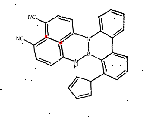 N#Cc1ccc(NB2c3c(cccc3C3C=CC=C3)-c3ccccc3N2c2ccc(C#N)cc2)cc1